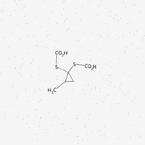 CC1CC1(SC(=O)O)SC(=O)O